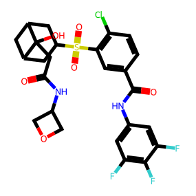 O=C(CC1(O)C2CC1CC(S(=O)(=O)c1cc(C(=O)Nc3cc(F)c(F)c(F)c3)ccc1Cl)C2)NC1COC1